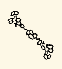 CC1(C)c2cc(/C=C/c3ccc4ccc5c(/C=C/c6ccc7c(c6)C(C)(C)c6cc(N(c8cccc9ccccc89)c8cccc9ccccc89)ccc6-7)ccc6ccc3c4c65)ccc2-c2ccc(N(c3cccc4ccccc34)c3cccc4ccccc34)cc21